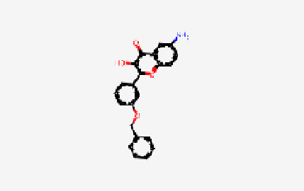 Nc1ccc2oc(-c3cccc(OCc4ccccc4)c3)c(O)c(=O)c2c1